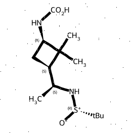 C[C@H](N[S@@+]([O-])C(C)(C)C)[C@H]1C[C@@H](NC(=O)O)C1(C)C